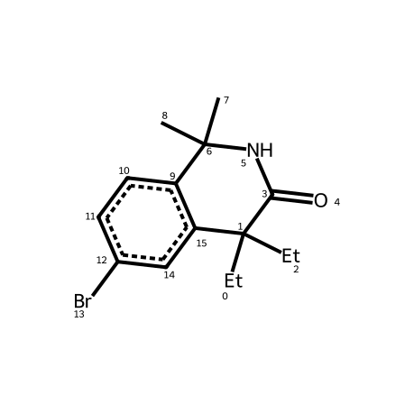 CCC1(CC)C(=O)NC(C)(C)c2ccc(Br)cc21